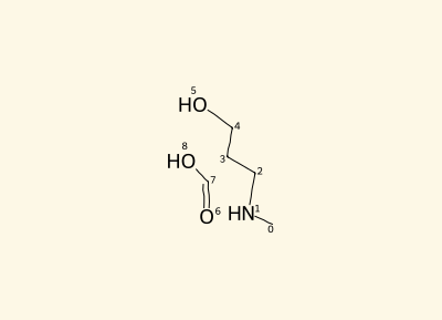 CNCCCO.O=CO